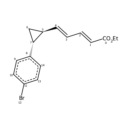 CCOC(=O)C=CC=C[C@@H]1C[C@H]1c1ccc(Br)cc1